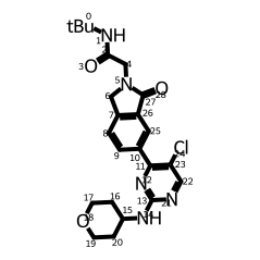 CC(C)(C)NC(=O)CN1Cc2ccc(-c3nc(NC4CCOCC4)ncc3Cl)cc2C1=O